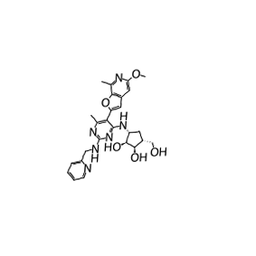 COc1cc2cc(-c3c(C)nc(NCc4ccccn4)nc3N[C@@H]3C[C@H](CO)[C@@H](O)[C@H]3O)oc2c(C)n1